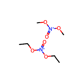 CCO[N+](=O)OCC.CO[N+](=O)OC